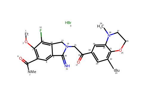 Br.CCOc1c(C(=O)NC)cc2c(c1F)CN(CC(=O)c1cc3c(c(C(C)(C)C)c1)OCCN3C)C2=N